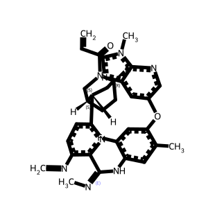 C=CC(=O)N1C[C@H]2CC[C@@H]1C[C@@H]2c1ccc(N=C)c(/C(=N\C)Nc2cc(C)c(Oc3cnc4c(c3)ncn4C)cc2F)n1